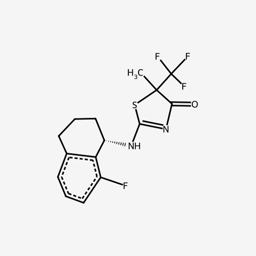 CC1(C(F)(F)F)SC(N[C@H]2CCCc3cccc(F)c32)=NC1=O